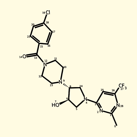 Cc1nc(N2C[C@@H](O)[C@H](N3CCN(C(=O)c4ccc(Cl)cc4)CC3)C2)cc(C(F)(F)F)n1